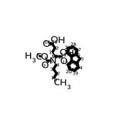 CCCCCN(C(=O)OC)[C@@H](CCC(=O)O)C(=O)O.c1ccc2c(c1)Cc1ccccc1-2